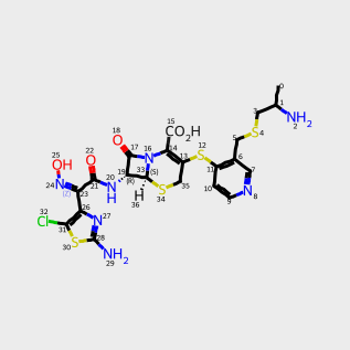 CC(N)CSCc1cnccc1SC1=C(C(=O)O)N2C(=O)[C@@H](NC(=O)/C(=N\O)c3nc(N)sc3Cl)[C@@H]2SC1